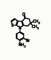 CC1(C)CC(=O)c2c(n(-c3ccc(N)c(Br)c3)c3sccc23)C1